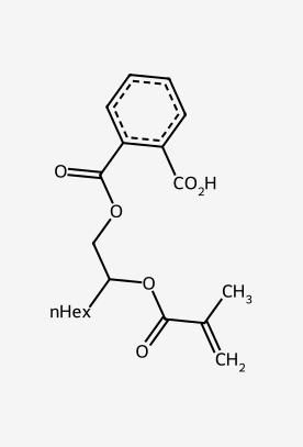 C=C(C)C(=O)OC(CCCCCC)COC(=O)c1ccccc1C(=O)O